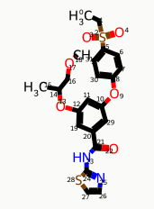 CCS(=O)(=O)c1ccc(Oc2cc(OC(C)COC)cc(C(=O)Nc3nccs3)c2)cc1